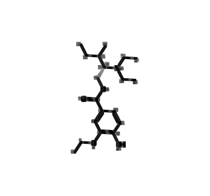 CCOc1cc(C(=O)OC[C@H](C(C)CC)N(CC)CC)ccc1O